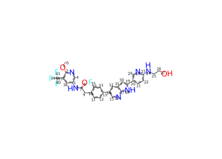 COc1ncc(NC(=O)Cc2ccc(-c3cnc4[nH]c(-c5ccc(NCCO)nc5)cc4c3)cc2F)cc1C(F)(F)F